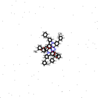 N#Cc1ccc(-c2cccc(-c3nc(-c4ccc(-c5cccc(C#N)c5)cc4-n4c5ccc(-c6ccccc6)cc5c5cc(-c6ccccc6)ccc54)nc(-c4ccc(-c5cccc(C#N)c5)cc4-n4c5ccc(-c6ccccc6)cc5c5cc(-c6ccccc6)ccc54)n3)c2)cc1